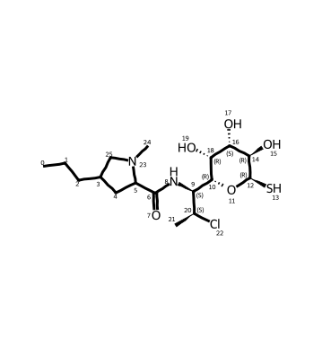 CCCC1CC(C(=O)N[C@@H]([C@H]2O[C@H](S)[C@H](O)[C@@H](O)[C@H]2O)[C@H](C)Cl)N(C)C1